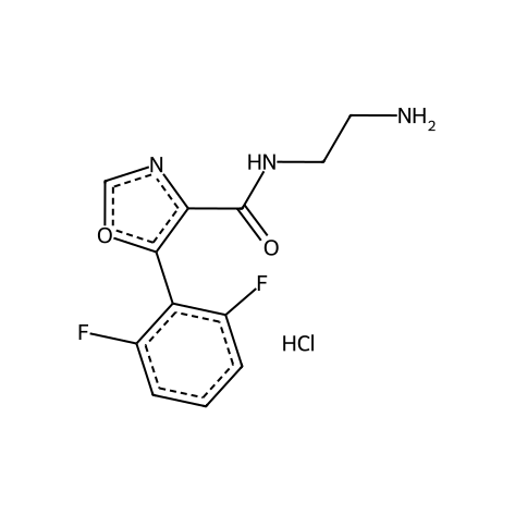 Cl.NCCNC(=O)c1ncoc1-c1c(F)cccc1F